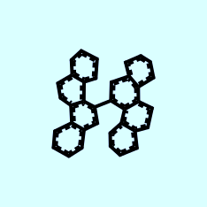 c1ccc2c(c1)cc(-c1cc3ccccc3c3ccc4ccccc4c13)c1c3ccccc3ccc21